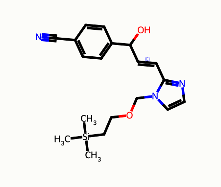 C[Si](C)(C)CCOCn1ccnc1/C=C/C(O)c1ccc(C#N)cc1